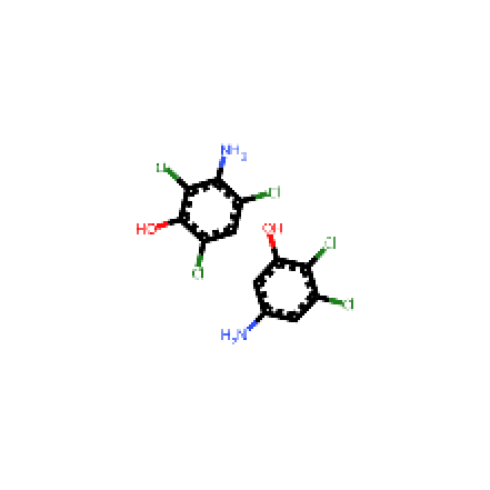 Nc1c(Cl)cc(Cl)c(O)c1Cl.Nc1cc(O)c(Cl)c(Cl)c1